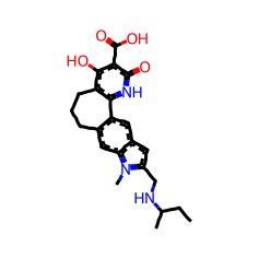 CCC(C)NCc1cc2cc3c(cc2n1C)CCCc1c-3[nH]c(=O)c(C(=O)O)c1O